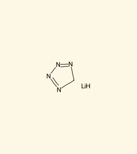 C1N=NN=N1.[LiH]